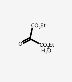 CCOC(=O)C(=O)C(=O)OCC.O